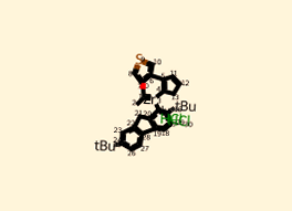 C[C](C)=[Zr]([C]1=C(c2ccsc2)C=CC1)[c]1c(C(C)(C)C)ccc2c1Cc1cc(C(C)(C)C)ccc1-2.Cl.Cl